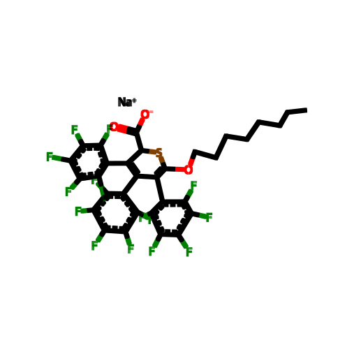 CCCCCCCCOC1=C(c2c(F)c(F)c(F)c(F)c2F)C(c2c(F)c(F)c(F)c(F)c2F)=C(c2c(F)c(F)c(F)c(F)c2F)C(C(=O)[O-])S1.[Na+]